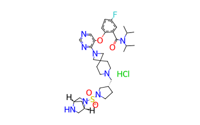 CC(C)N(C(=O)c1cc(F)ccc1Oc1cncnc1N1CC2(CCN(C[C@@H]3CCN(S(=O)(=O)N4C[C@@H]5C[C@H]4CN5)C3)CC2)C1)C(C)C.Cl